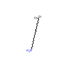 CCC(CC)CCCCCCCC=CCCCCCCCCCCCCN